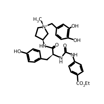 CCOC(=O)c1ccc(NC(=O)N[C@@H](Cc2ccc(O)cc2)C(=O)N[C@H]2CC[N@+](C)(Cc3ccc(O)c(O)c3)C2)cc1